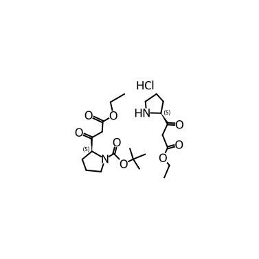 CCOC(=O)CC(=O)[C@@H]1CCCN1.CCOC(=O)CC(=O)[C@@H]1CCCN1C(=O)OC(C)(C)C.Cl